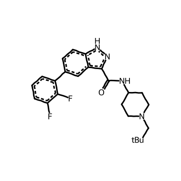 CC(C)(C)CN1CCC(NC(=O)c2n[nH]c3ccc(-c4cccc(F)c4F)cc23)CC1